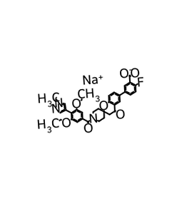 CCOc1cc(C(=O)N2CCC3(CC2)CC(=O)c2cc(-c4ccc(F)c(C(=O)[O-])c4)ccc2O3)cc(OCC)c1-c1cnn(C)c1.[Na+]